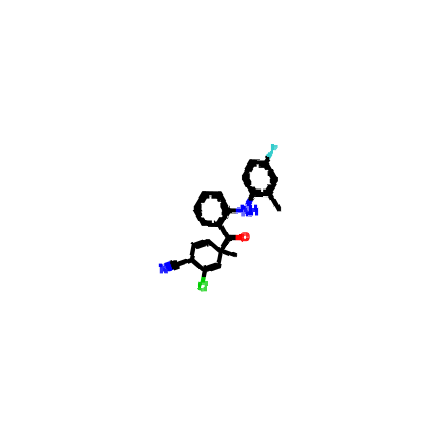 Cc1cc(F)ccc1Nc1ccccc1C(=O)C1(C)C=CC(C#N)C(Cl)=C1